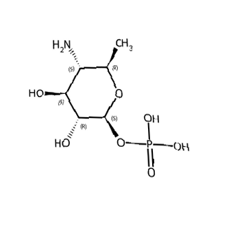 C[C@H]1O[C@@H](OP(=O)(O)O)[C@H](O)[C@@H](O)[C@@H]1N